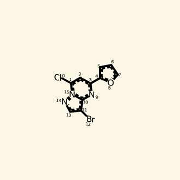 Clc1cc(-c2ccco2)nc2c(Br)cnn12